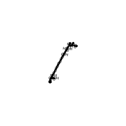 CC(C)(C)OC(=O)CC[C@H](NC(=O)N[C@@H](CCCCNC(=O)CCCCCNC(=O)CCOCCOCCOCCOCCOCCOCCOCCOCCNC(=O)CCN(CCC(=O)O)C(=O)OCc1ccccc1)C(=O)OC(C)(C)C)C(=O)OC(C)(C)C